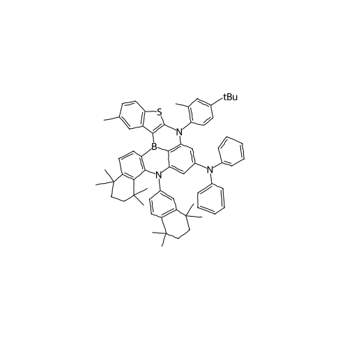 Cc1ccc2sc3c(c2c1)B1c2ccc4c(c2N(c2ccc5c(c2)C(C)(C)CCC5(C)C)c2cc(N(c5ccccc5)c5ccccc5)cc(c21)N3c1ccc(C(C)(C)C)cc1C)C(C)(C)CCC4(C)C